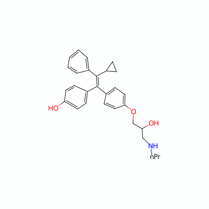 CCCNCC(O)COc1ccc(C(=C(c2ccccc2)C2CC2)c2ccc(O)cc2)cc1